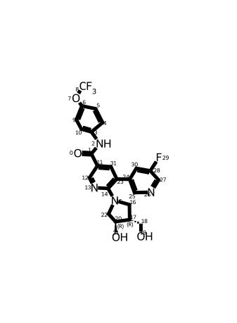 O=C(Nc1ccc(OC(F)(F)F)cc1)c1cnc(N2C[C@H](CO)[C@@H](O)C2)c(-c2cncc(F)c2)c1